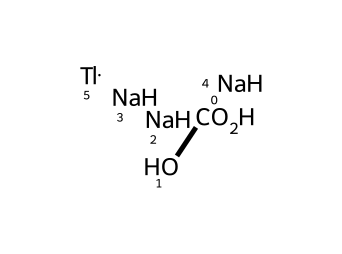 O=C(O)O.[NaH].[NaH].[NaH].[Tl]